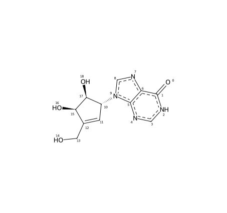 O=c1[nH]cnc2c1ncn2[C@@H]1C=C(CO)[C@@H](O)[C@H]1O